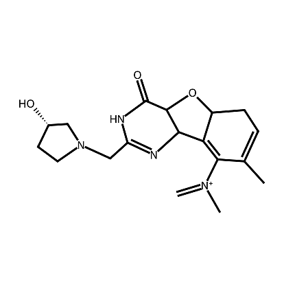 C=[N+](C)C1=C2C(CC=C1C)OC1C(=O)NC(CN3CC[C@H](O)C3)=NC21